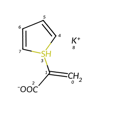 C=C(C(=O)[O-])[SH]1C=CC=C1.[K+]